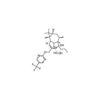 CC[C@H](O)[C@@]1(O)[C@H](O)C(COc2ncc(C(F)(F)F)cn2)=C[C@@H]2C(O)[C@]1(C)[C@H](C)C[C@@H]1[C@H]2C1(C)C